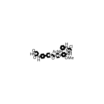 COc1cc(N2CCN(C(=O)CN3CCC(c4ccc(NC5CCC(=O)NC5=O)cc4)CC3)CC2)c(NC(C)=O)cc1Nc1ncc(Cl)c(Nc2ccccc2)n1